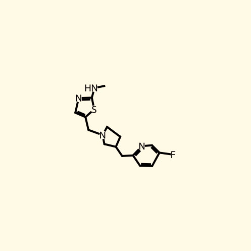 CNc1ncc(CN2CCC(Cc3ccc(F)cn3)C2)s1